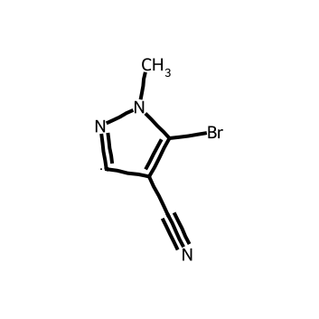 Cn1n[c]c(C#N)c1Br